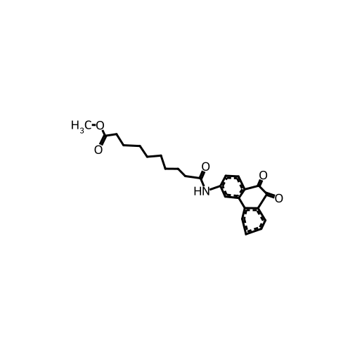 COC(=O)CCCCCCCCC(=O)Nc1ccc2c(c1)-c1ccccc1C(=O)C2=O